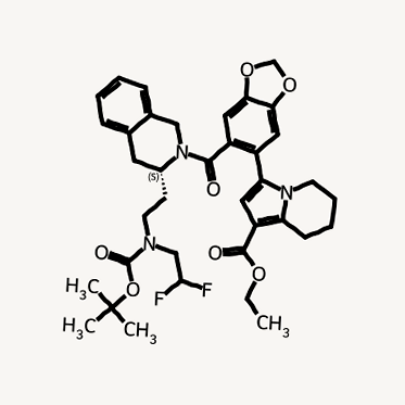 CCOC(=O)c1cc(-c2cc3c(cc2C(=O)N2Cc4ccccc4C[C@H]2CCN(CC(F)F)C(=O)OC(C)(C)C)OCO3)n2c1CCCC2